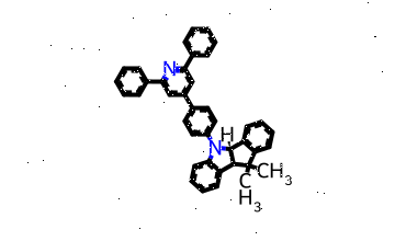 CC1(C)c2ccccc2[C@H]2C1c1ccccc1N2c1ccc(-c2cc(-c3ccccc3)nc(-c3ccccc3)c2)cc1